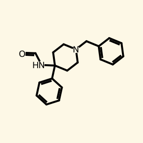 O=CNC1(c2ccccc2)CCN(Cc2ccccc2)CC1